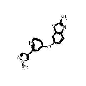 CCCn1cc(-c2cc(Oc3ccc4nc(N)sc4c3)ccn2)cn1